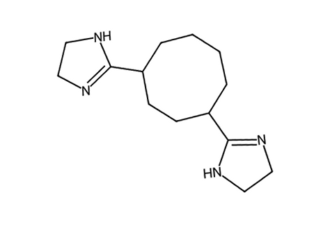 C1CCC(C2=NCCN2)CCC(C2=NCCN2)C1